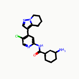 NC1CCCC(C(=O)Nc2cc(-c3cnn4c3CCCC4)c(Cl)cn2)C1